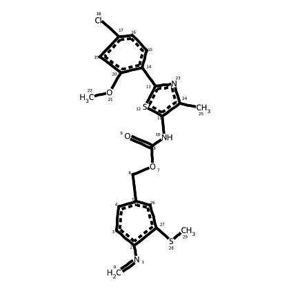 C=Nc1ccc(COC(=O)Nc2sc(-c3ccc(Cl)cc3OC)nc2C)cc1SC